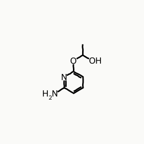 CC(O)Oc1cccc(N)n1